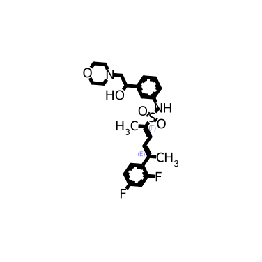 C/C(=C\C=C(/C)S(=O)(=O)Nc1cccc(C(O)CN2CCOCC2)c1)c1ccc(F)cc1F